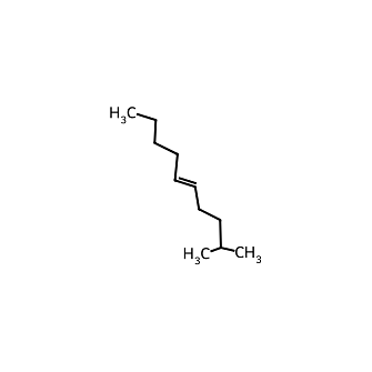 CCCCC=CCCC(C)C